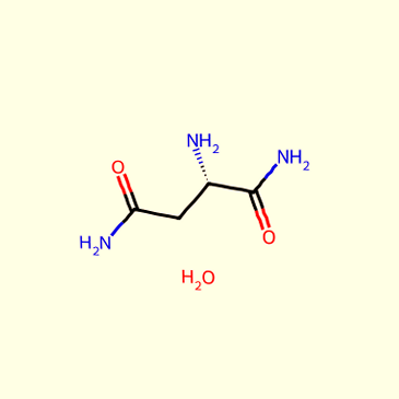 NC(=O)C[C@H](N)C(N)=O.O